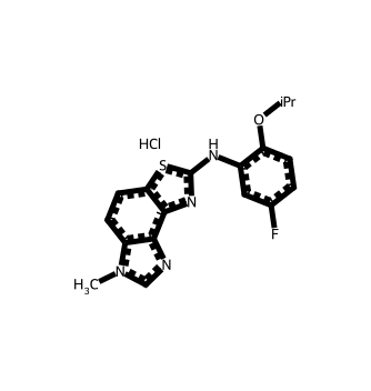 CC(C)Oc1ccc(F)cc1Nc1nc2c(ccc3c2ncn3C)s1.Cl